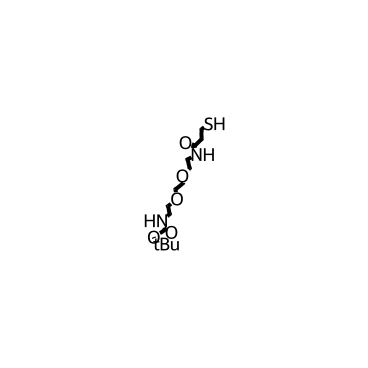 CC(C)(C)OC(=O)NCCOCCOCCNC(=O)CCS